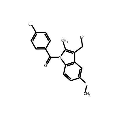 COc1ccc2c(c1)c(CBr)c(C)n2C(=O)c1ccc(Cl)cc1